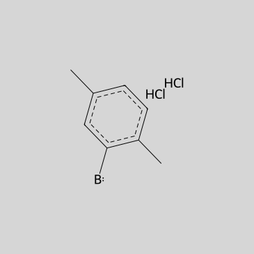 Cl.Cl.[B]c1cc(C)ccc1C